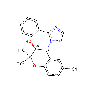 CC1(C)Oc2ccc(C#N)cc2[C@@H](n2ccnc2-c2ccccc2)[C@@H]1O